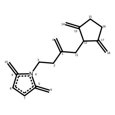 C=C(CCn1c(=C)ccc1=C)CC1C(=C)CCC1=C